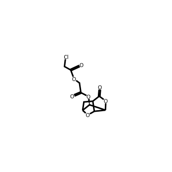 O=C(CCl)OCC(=O)O[C@@H]1C2CC3C(=O)OC1C3O2